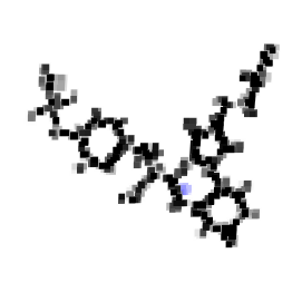 CC(C)(O)Cc1ccc(NC(=O)/C=C/c2cnccc2-c2cnn(CN=[N+]=[N-])c2)cc1